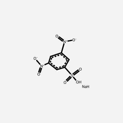 O=[N+]([O-])c1cc([N+](=O)[O-])cc(S(=O)(=O)O)c1.[NaH]